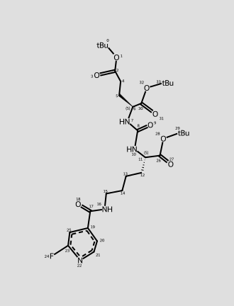 CC(C)(C)OC(=O)CC[C@H](NC(=O)N[C@@H](CCCCNC(=O)c1ccnc(F)c1)C(=O)OC(C)(C)C)C(=O)OC(C)(C)C